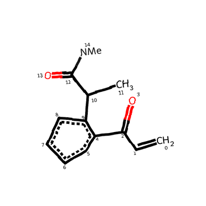 C=CC(=O)c1ccccc1C(C)C(=O)NC